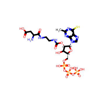 Cc1nc(S)c2ncn([C@@H]3O[C@H](COP(=O)(O)OP(=O)(O)OP(=O)(O)O)C(O)[C@@H]3OC(=O)NCCNC(=O)C(N)CC(=O)O)c2n1